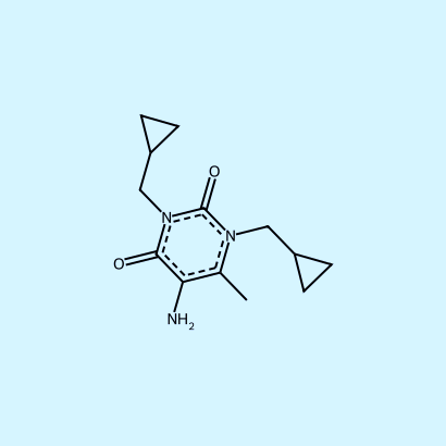 Cc1c(N)c(=O)n(CC2CC2)c(=O)n1CC1CC1